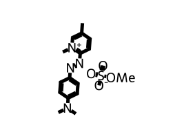 COS(=O)(=O)[O-].Cc1ccc(N=Nc2ccc(N(C)C)cc2)[n+](C)c1